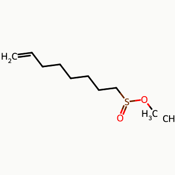 C.C=CCCCCCCS(=O)OC